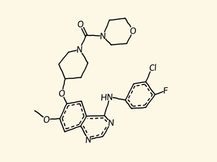 COc1cc2ncnc(Nc3ccc(F)c(Cl)c3)c2cc1OC1CCN(C(=O)N2CCOCC2)CC1